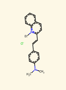 CC[n+]1c(C=Cc2ccc(N(C)C)cc2)ccc2ccccc21.[Cl-]